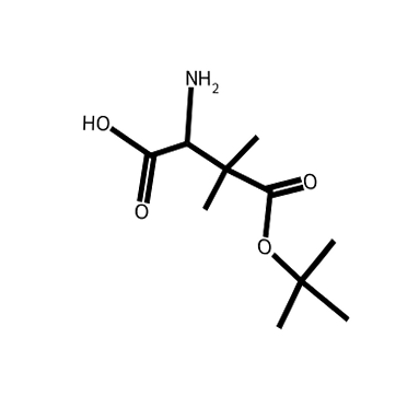 CC(C)(C)OC(=O)C(C)(C)C(N)C(=O)O